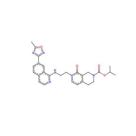 Cc1nc(-c2ccc3ccnc(NCCn4ccc5c(c4=O)CN(C(=O)OC(C)C)CC5)c3c2)no1